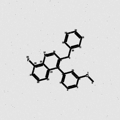 COc1cccc(-c2c(Cc3ccccc3)cnc3c(F)cccc23)c1